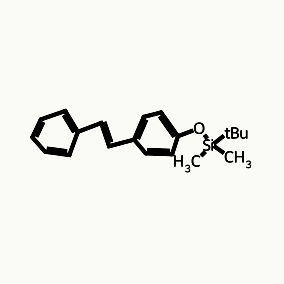 CC(C)(C)[Si](C)(C)Oc1ccc(C=Cc2ccccc2)cc1